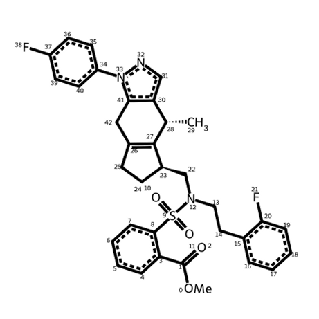 COC(=O)c1ccccc1S(=O)(=O)N(CCc1ccccc1F)C[C@H]1CCC2=C1[C@@H](C)c1cnn(-c3ccc(F)cc3)c1C2